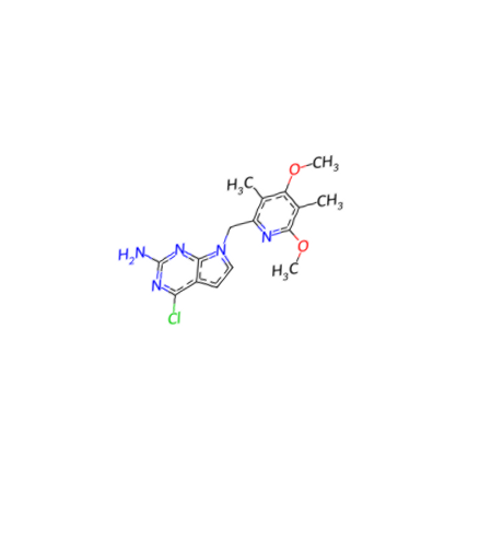 COc1nc(Cn2ccc3c(Cl)nc(N)nc32)c(C)c(OC)c1C